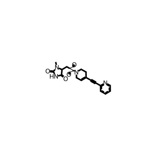 CN1C(=O)NC(=O)C1CS(=O)(=O)N1CC=C(C#Cc2ccccn2)CC1